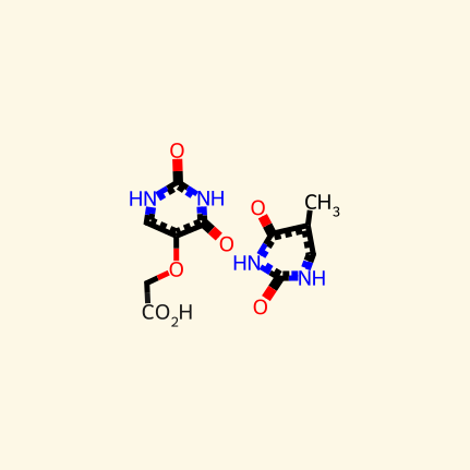 Cc1c[nH]c(=O)[nH]c1=O.O=C(O)COc1c[nH]c(=O)[nH]c1=O